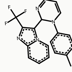 Cc1ccc(N2C=CC=NC2c2c(C(F)(F)F)nc3ccccn23)cc1